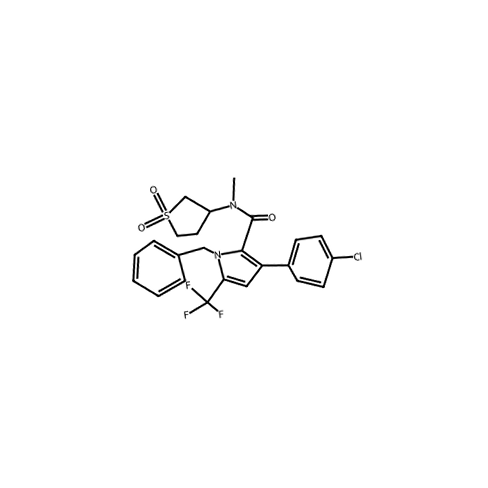 CN(C(=O)c1c(-c2ccc(Cl)cc2)cc(C(F)(F)F)n1Cc1ccccc1)C1CCS(=O)(=O)C1